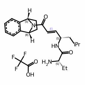 CC[C@H](N)C(=O)N[C@H](/C=C/C(=O)N1[C@@H]2CC[C@H]1c1ccccc12)CC(C)C.O=C(O)C(F)(F)F